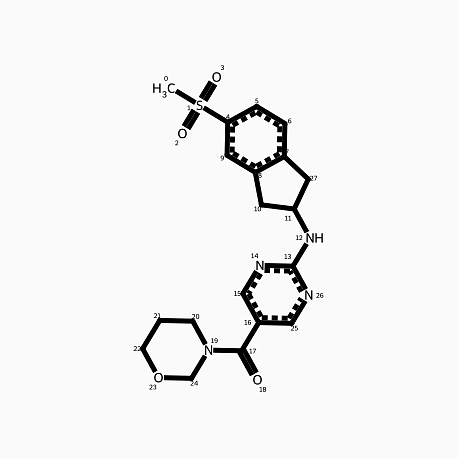 CS(=O)(=O)c1ccc2c(c1)CC(Nc1ncc(C(=O)N3CCCOC3)cn1)C2